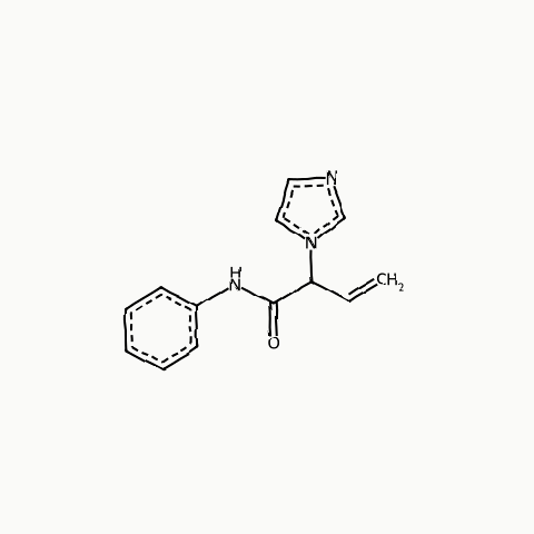 C=CC(C(=O)Nc1ccccc1)n1ccnc1